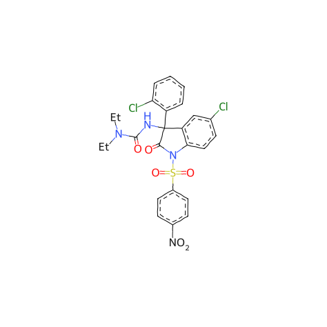 CCN(CC)C(=O)NC1(c2ccccc2Cl)C(=O)N(S(=O)(=O)c2ccc([N+](=O)[O-])cc2)c2ccc(Cl)cc21